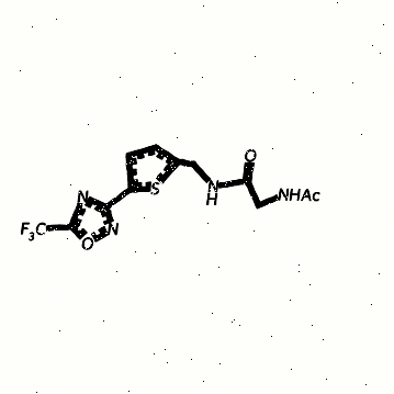 CC(=O)NCC(=O)NCc1ccc(-c2noc(C(F)(F)F)n2)s1